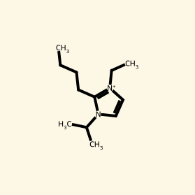 CCCCc1n(C(C)C)cc[n+]1CC